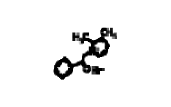 Cc1ccc[n+](CC(=O)c2ccccc2)c1C.[Br-]